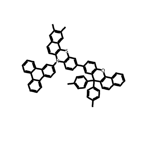 Cc1ccc(C2(c3ccc(C)cc3)c3cc(-c4ccc5c(c4)Sc4c(ccc6cc(C)c(C)cc46)N5c4ccc5c6ccccc6c6ccccc6c5c4)ccc3Oc3c2ccc2ccccc32)cc1